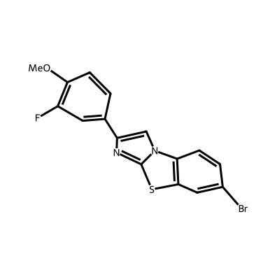 COc1ccc(-c2cn3c(n2)sc2cc(Br)ccc23)cc1F